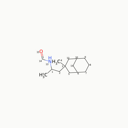 CC(CC1(C)CC2CCCC(C2)C1)NC=O